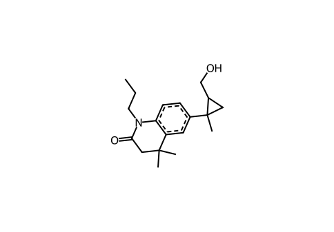 CCCN1C(=O)CC(C)(C)c2cc(C3(C)CC3CO)ccc21